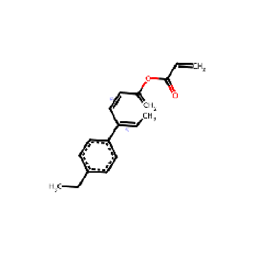 C=CC(=O)OC(=C)/C=C\C(=C/C)c1ccc(CC)cc1